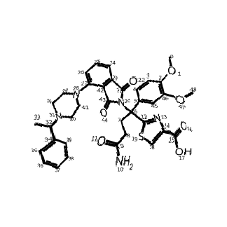 COc1ccc(C(CCC(N)=O)(c2nc(C(=O)O)cs2)N2C(=O)c3cccc(N4CCN(C(C)c5ccccc5)CC4)c3C2=O)cc1OC